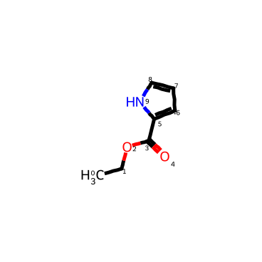 CCOC(=O)c1[c]cc[nH]1